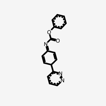 O=C(N=C1C=CC(c2cccnn2)C=C1)Oc1ccccc1